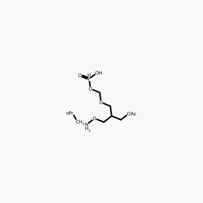 CC(=O)OCC(CON)COCO[PH](=O)O.CCCC